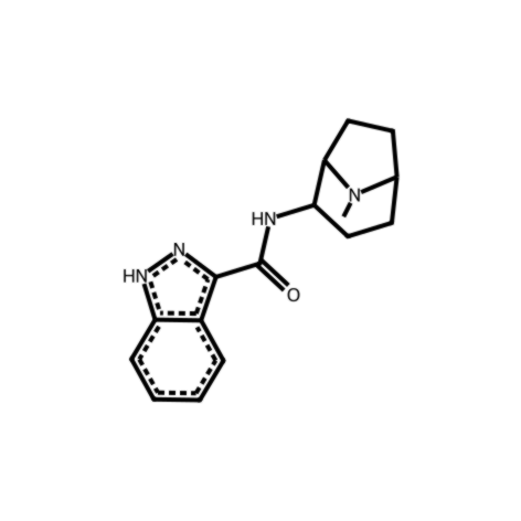 CN1C2CCC(NC(=O)c3n[nH]c4ccccc34)C1CC2